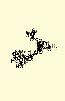 C=CC(=O)N1CN(C(=O)C=C)CN(C(=O)CCSCC(=O)N[C@H](C(=O)N[C@@H](CCCNC(N)=O)C(=O)Nc2ccc(COC(=O)NC3C[C@H](OC4C[C@](O)(C(=O)CO)Cc5c(O)c6c(c(O)c54)C(=O)c4c(OC)cccc4C6=O)O[C@@H](C)[C@H]3O)cc2)C(C)C)C1